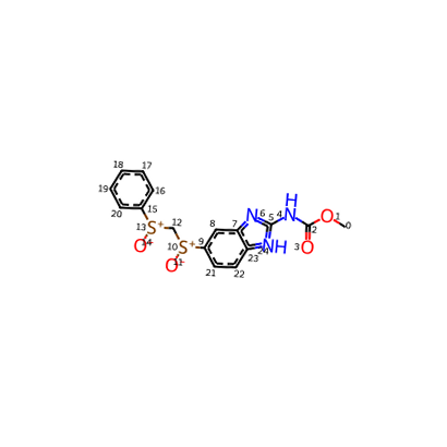 COC(=O)Nc1nc2cc([S+]([O-])C[S+]([O-])c3ccccc3)ccc2[nH]1